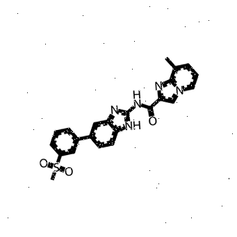 Cc1cccn2cc(C(=O)Nc3nc4cc(-c5cccc(S(C)(=O)=O)c5)ccc4[nH]3)nc12